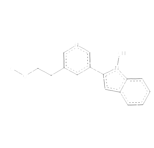 COCCc1cncc(-c2cc3ccccc3n2C)c1